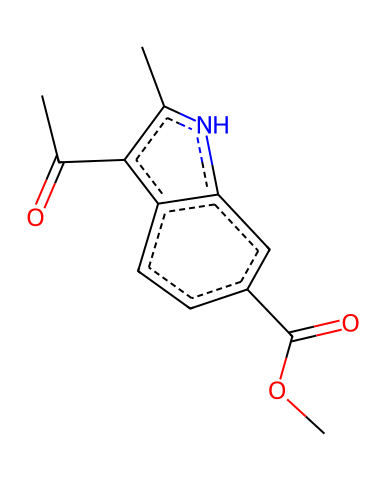 COC(=O)c1ccc2c(C(C)=O)c(C)[nH]c2c1